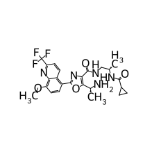 COc1ccc(-c2nc(C(=O)NC[C@@H](C)NC(=O)C3CC3)c([C@H](C)N)o2)c2ccc(C(F)(F)F)nc12